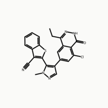 CCc1n[nH]c(=O)c2c(Cl)cc(-c3cnn(C)c3-c3sc4ccccc4c3C#N)cc12